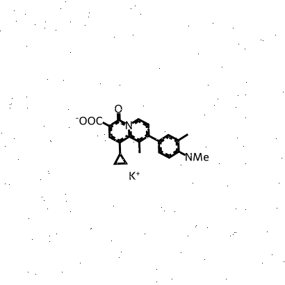 CNc1ccc(-c2ccn3c(=O)c(C(=O)[O-])cc(C4CC4)c3c2C)cc1C.[K+]